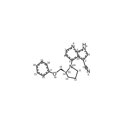 N#Cc1c[nH]c2nccc(N3CCC[C@H]3COc3ccccc3)c12